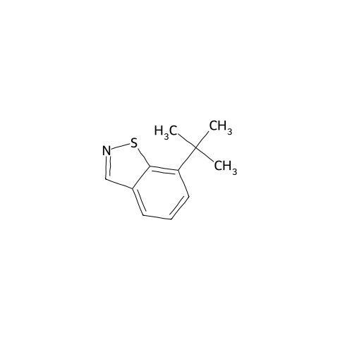 CC(C)(C)c1cccc2cnsc12